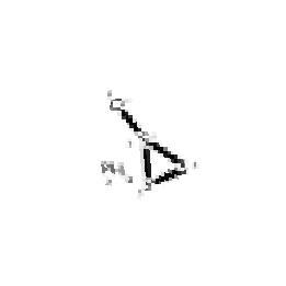 P.[O-][s+]1ss1